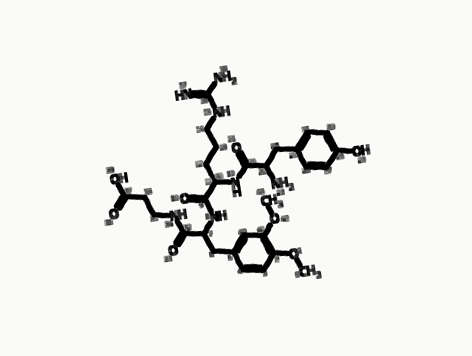 COc1ccc(CC(NC(=O)[C@@H](CCCNC(=N)N)NC(=O)C(N)Cc2ccc(O)cc2)C(=O)NCCC(=O)O)cc1OC